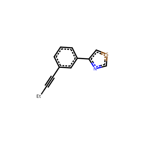 CCC#Cc1cccc(-c2cscn2)c1